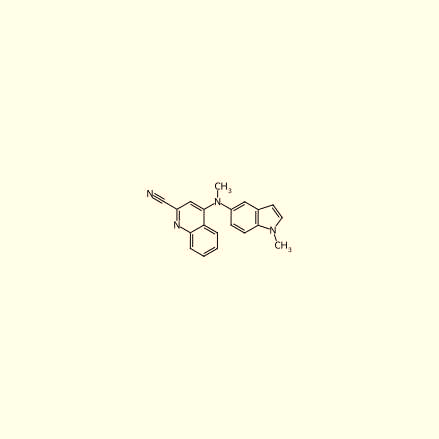 CN(c1ccc2c(ccn2C)c1)c1cc(C#N)nc2ccccc12